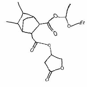 CCOC(C)OC(=O)C1C2CC(C(C)C2C)C1C(=O)OC1COC(=O)C1